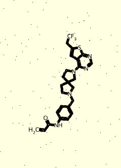 C=CC(=O)Nc1ccc(CN2CCC3(CCN(c4ncnc5sc(CC(F)(F)F)cc45)C3)C2)cc1